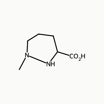 CN1CCCC(C(=O)O)N1